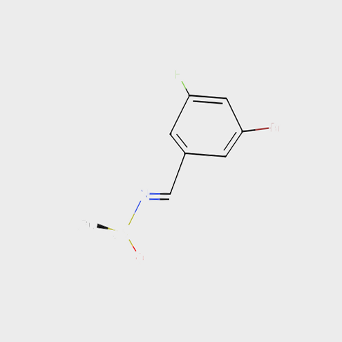 CC(C)(C)[S@+]([O-])N=Cc1cc(F)cc(Br)c1